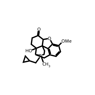 COc1ccc2c3c1OC1C(=O)CCC4(O)C(C2)[N+](C)(CC2CC2)CCC314